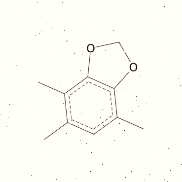 Cc1cc(C)c2c(c1C)OCO2